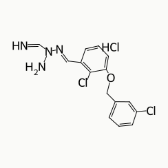 Cl.N=CN(N)/N=C/c1cccc(OCc2cccc(Cl)c2)c1Cl